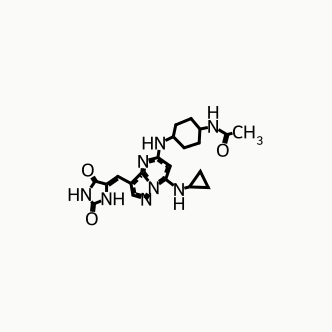 CC(=O)NC1CCC(Nc2cc(NC3CC3)n3ncc(C=C4NC(=O)NC4=O)c3n2)CC1